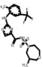 Cc1ccc(C(F)(F)F)cc1Nc1nc(C(=O)NS(=O)(=O)N2CCOCC(C)C2)co1